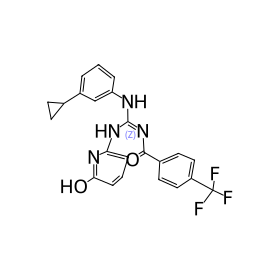 O=C(/N=C(/Nc1cccc(C2CC2)c1)Nc1cccc(O)n1)c1ccc(C(F)(F)F)cc1